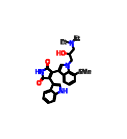 CCN(CC)CC(O)Cn1cc(C2=C(c3c[nH]c4ccccc34)C(=O)NC2=O)c2cccc(SC)c21